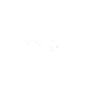 Nc1ncnc(NCC2CCN(S(=O)(=O)C/C=C/C=Cc3ccccc3)CC2)c1-c1ccc(Oc2ccccc2)cc1